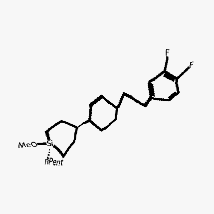 CCCCC[Si@]1(OC)CC[C@@H](C2CCC(CCc3ccc(F)c(F)c3)CC2)CC1